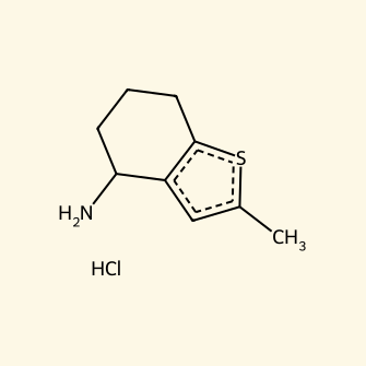 Cc1cc2c(s1)CCCC2N.Cl